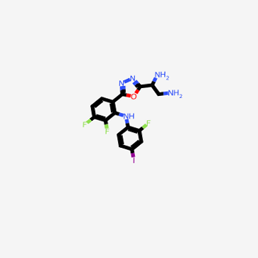 NCC(N)c1nnc(-c2ccc(F)c(F)c2Nc2ccc(I)cc2F)o1